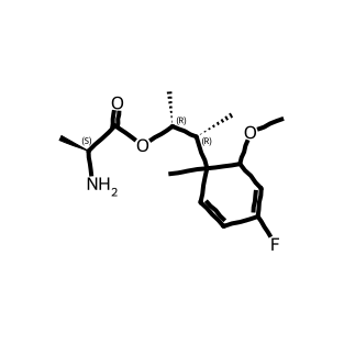 COC1C=C(F)C=CC1(C)[C@@H](C)[C@@H](C)OC(=O)[C@H](C)N